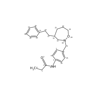 CCC(=O)Nc1ccc(CN2CC(CCc3ccccc3)CCCO2)cc1